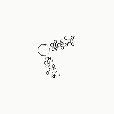 C1=C\CC/C=C\CC/1.CC#N.CC#N.[O-][Cl+3]([O-])([O-])[O-].[O-][Cl+3]([O-])([O-])[O-].[O-][Cl+3]([O-])([O-])[O-].[Rh+3]